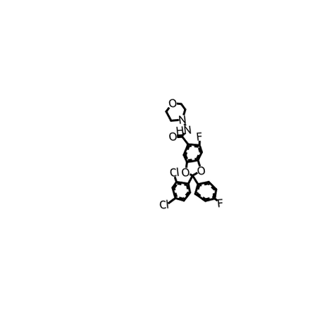 O=C(NN1CCOCC1)c1cc2c(cc1F)OC(c1ccc(F)cc1)(c1ccc(Cl)cc1Cl)O2